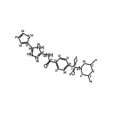 CC1CC(C)CN(S(=O)(=O)c2ccc(C(=O)Nc3nnc(-c4cccs4)[nH]3)cc2)C1